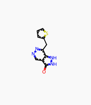 O=c1[nH][nH]c2c(Cc3cccs3)nncc12